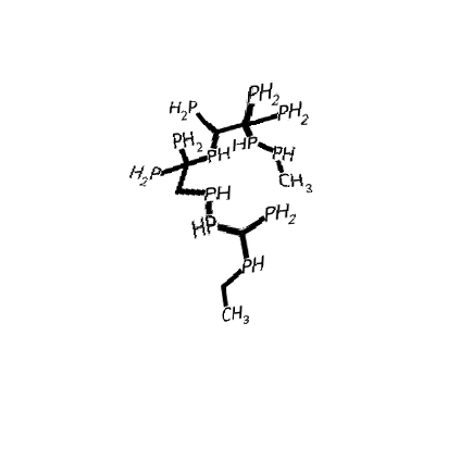 CCPC(P)PPCC(P)(P)PC(P)C(P)(P)PPC